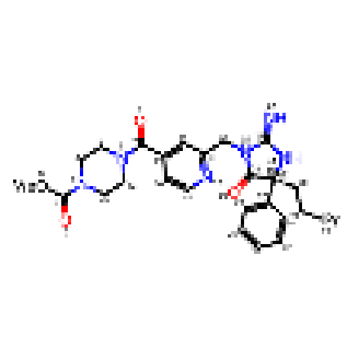 COC(=O)N1CCN(C(=O)c2ccnc(CN3C(=N)N[C@](CCC(C)C)(c4ccccc4)C3=O)c2)CC1